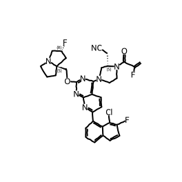 C=C(F)C(=O)N1CCN(c2nc(OC[C@@]34CCCN3C[C@H](F)C4)nc3nc(-c4cccc5ccc(F)c(Cl)c45)ccc23)C[C@@H]1CC#N